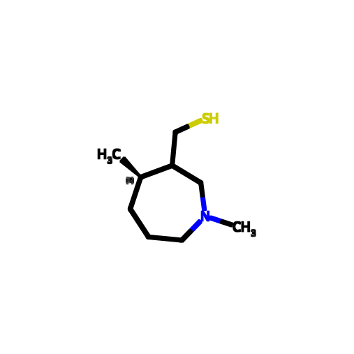 C[C@@H]1CCCN(C)CC1CS